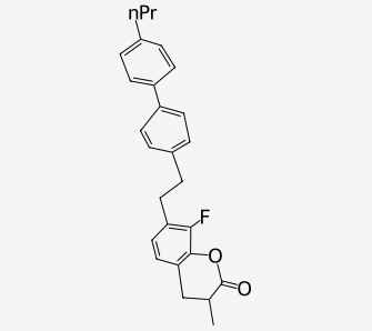 CCCc1ccc(-c2ccc(CCc3ccc4c(c3F)OC(=O)C(C)C4)cc2)cc1